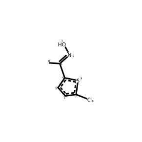 C/C(=N\O)c1ccc(Cl)s1